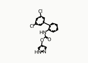 O=C(Nc1ccccc1-c1cc(Cl)cc(Cl)c1)Oc1cn[nH]c1